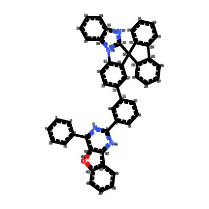 c1ccc(-c2nc(-c3cccc(-c4ccc5c(c4)C4(c6ccccc6-c6ccccc64)c4nc6ccccc6n4-5)c3)nc3c2oc2ccccc23)cc1